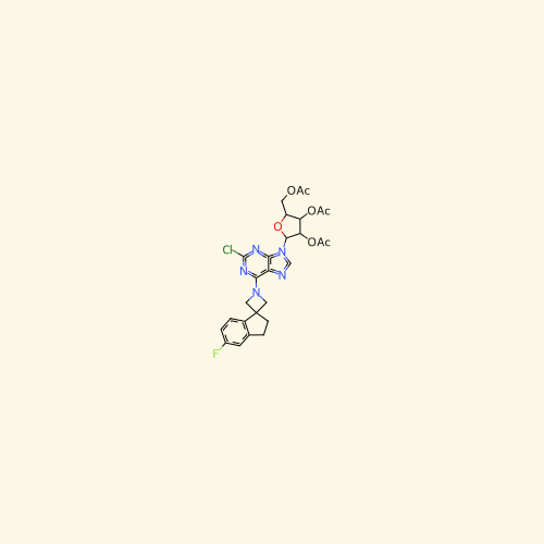 CC(=O)OCC1OC(n2cnc3c(N4CC5(CCc6cc(F)ccc65)C4)nc(Cl)nc32)C(OC(C)=O)C1OC(C)=O